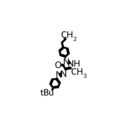 C=CCc1ccc(-n2[nH]c(C)c(N=Nc3ccc(C(C)(C)C)cc3)c2=O)cc1